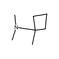 CN(C)C1(C)CCC1